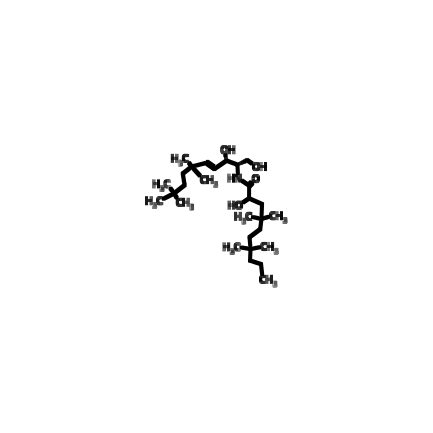 CCCC(C)(C)CCC(C)(C)CC(O)C(=O)N[C@H](CO)[C@H](O)/C=C/C(C)(C)CCC(C)(C)C